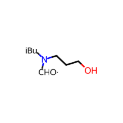 CCC(C)N([C]=O)CCCO